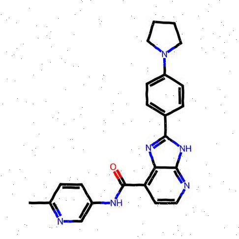 Cc1ccc(NC(=O)c2ccnc3[nH]c(-c4ccc(N5CCCC5)cc4)nc23)cn1